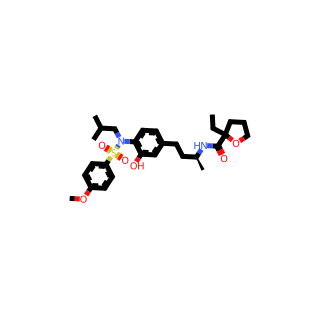 CCC1(C(=O)N[C@@H](C)CCc2ccc(N(CC(C)C)S(=O)(=O)c3ccc(OC)cc3)c(O)c2)CCCO1